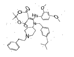 COc1ccc(NC(=C2C(=O)OC(C)(C)OC2=O)N(Cc2ccc(CC(C)C)cc2)C2CCN(CCc3ccccc3)CC2)c(OC)c1